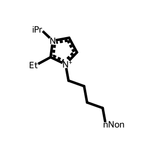 CCCCCCCCCCCCC[n+]1ccn(C(C)C)c1CC